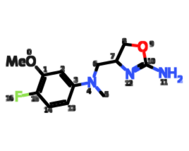 COc1cc(N(C)CC2COC(N)=N2)ccc1F